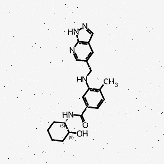 Cc1ccc(C(=O)N[C@H]2CCCC[C@@H]2O)cc1NCc1cnc2[nH]ncc2c1